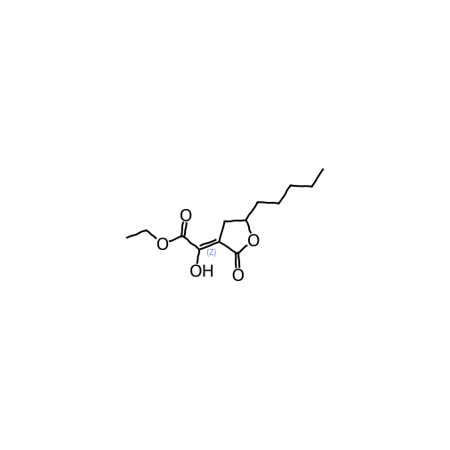 CCCCCC1C/C(=C(/O)C(=O)OCC)C(=O)O1